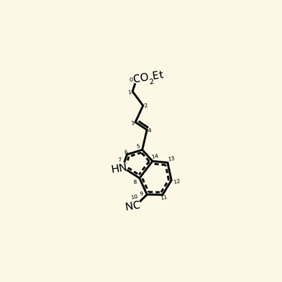 CCOC(=O)CCC=Cc1c[nH]c2c(C#N)cccc12